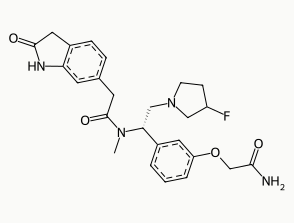 CN(C(=O)Cc1ccc2c(c1)NC(=O)C2)[C@H](CN1CCC(F)C1)c1cccc(OCC(N)=O)c1